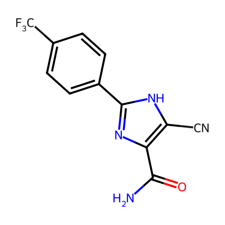 N#Cc1[nH]c(-c2ccc(C(F)(F)F)cc2)nc1C(N)=O